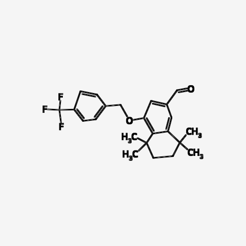 CC1(C)CCC(C)(C)c2c(OCc3ccc(C(F)(F)F)cc3)cc(C=O)cc21